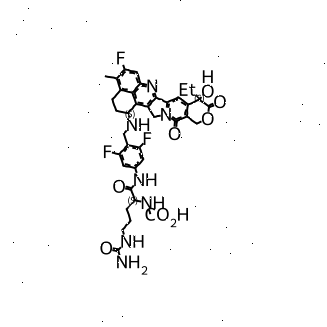 CC[C@@]1(O)C(=O)OCc2c1cc1n(c2=O)Cc2c-1nc1cc(F)c(C)c3c1c2[C@@H](NCc1c(F)cc(NC(=O)[C@H](CCCNC(N)=O)NC(=O)O)cc1F)CC3